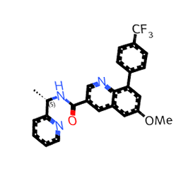 COc1cc(-c2ccc(C(F)(F)F)cc2)c2ncc(C(=O)N[C@@H](C)c3ccccn3)cc2c1